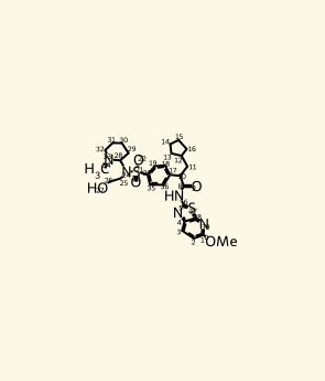 COc1ccc2nc(NC(=O)C(CC3CCCC3)c3ccc(S(=O)(=O)N(CCO)C4CCCCN4C)cc3)sc2n1